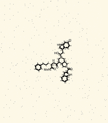 CNC(=O)[C@H](CCCc1ccccc1)NC(=O)C1CN(C(O)Cc2c[nH]c3cc(Cl)ccc23)CC2CN(C(=O)c3cc4ccccc4[nH]3)CC21